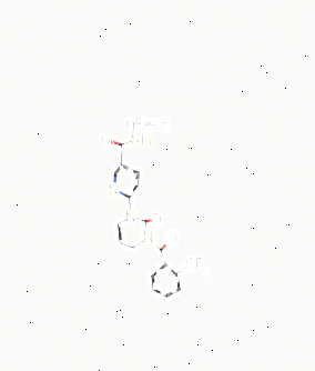 CCCCCNC(=O)c1ccc(N2C=CCN(C(=O)c3ccccc3C(F)(F)F)C2=O)nc1